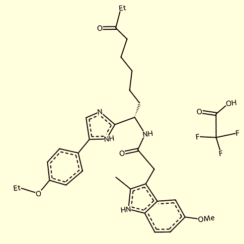 CCOc1ccc(-c2cnc([C@H](CCCCCC(=O)CC)NC(=O)Cc3c(C)[nH]c4ccc(OC)cc34)[nH]2)cc1.O=C(O)C(F)(F)F